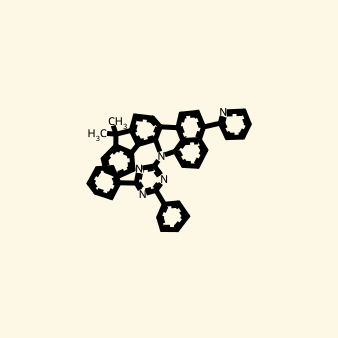 CC1(C)c2ccccc2-c2c1ccc1c2N(c2nc(-c3ccccc3)nc(-c3ccccc3)n2)c2cccc3c(-c4ccccn4)ccc-1c23